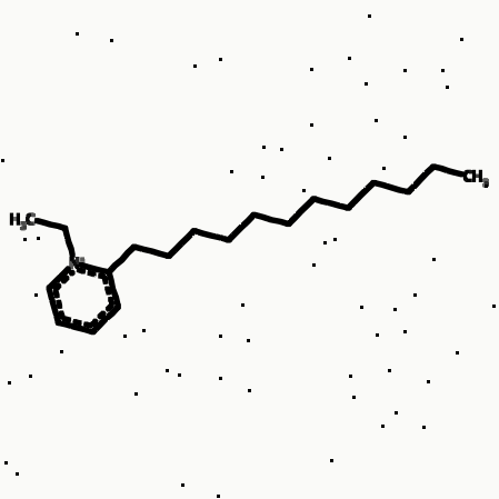 CCCCCCCCCCCCc1cccc[n+]1CC